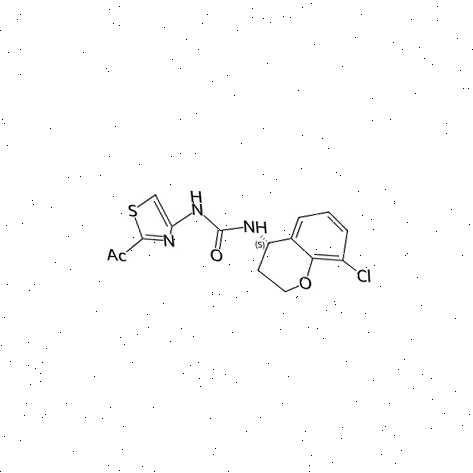 CC(=O)c1nc(NC(=O)N[C@H]2CCOc3c(Cl)cccc32)cs1